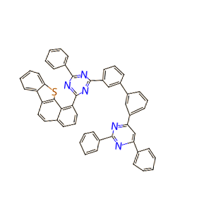 c1ccc(-c2cc(-c3cccc(-c4cccc(-c5nc(-c6ccccc6)nc(-c6cccc7ccc8c9ccccc9sc8c67)n5)c4)c3)nc(-c3ccccc3)n2)cc1